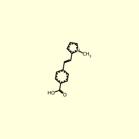 Cn1cccc1C=Cc1ccc(C(=O)O)cc1